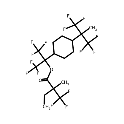 CCC(C)(C(=O)OC(C1CCC(C(C)(C(F)(F)F)C(F)(F)F)CC1)(C(F)(F)F)C(F)(F)F)C(F)(F)F